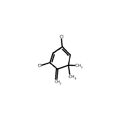 C=C1C(Cl)=CC(Cl)=CC1(C)C